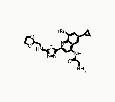 CC(C)(C)c1cc(C2CC2)cc2c(NC(=O)CN)cc(-c3nnc(NCC4OCCO4)o3)nc12